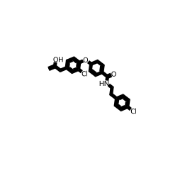 C=C(O)Cc1ccc(OC2C=CC(C(=O)NCCc3ccc(Cl)cc3)=CC2)c(Cl)c1